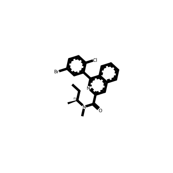 CC[C@H](C)N(C)C(=O)c1cc2ccccc2c(-c2cc(Br)ccc2Cl)n1